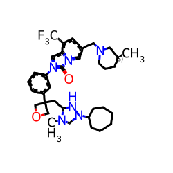 C[C@H]1CCCN(Cc2cc(C(F)(F)F)c3cn(-c4cccc(C5(CC6NN(C7CCCCCC7)CN6C)COC5)c4)c(=O)n3c2)C1